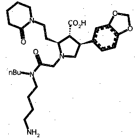 CCCCN(CCCCN)C(=O)CN1C[C@H](c2ccc3c(c2)OCO3)[C@@H](C(=O)O)[C@@H]1CCN1CCCCC1=O